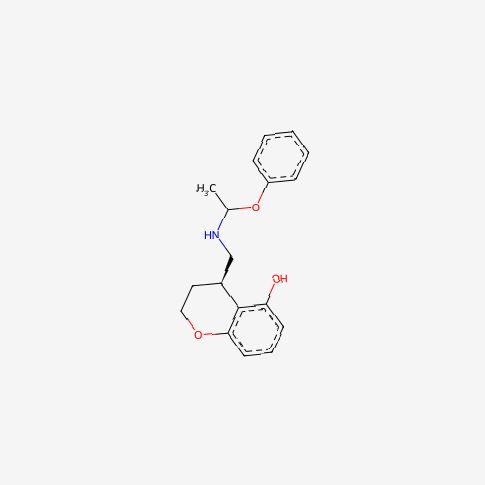 CC(NC[C@@H]1CCOc2cccc(O)c21)Oc1ccccc1